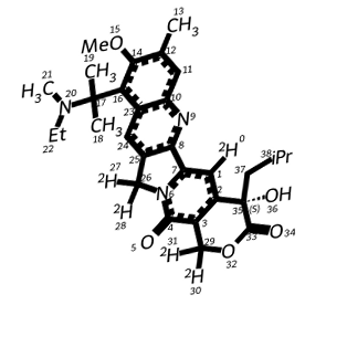 [2H]c1c2c(c(=O)n3c1-c1nc4cc(C)c(OC)c(C(C)(C)N(C)CC)c4cc1C3([2H])[2H])C([2H])([2H])OC(=O)[C@]2(O)CC(C)C